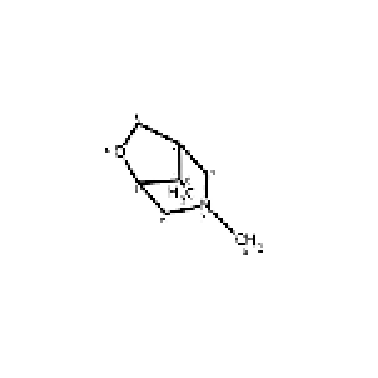 CC1C2COC1CN(C)C2